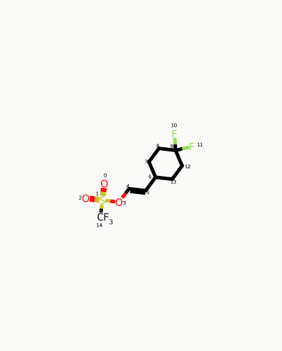 O=S(=O)(OC=CC1CCC(F)(F)CC1)C(F)(F)F